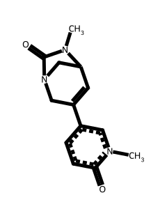 CN1C(=O)N2CC(c3ccc(=O)n(C)c3)=CC1C2